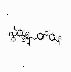 CCc1ccc(S(=O)(=O)NCCc2ccc(Oc3ccc(C(F)(F)F)cc3)cc2)cc1C(=O)OC